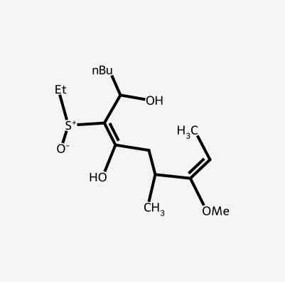 C/C=C(/OC)C(C)C/C(O)=C(\C(O)CCCC)[S+]([O-])CC